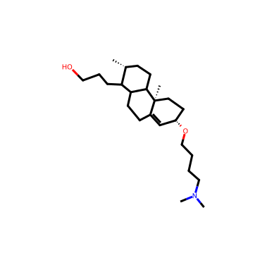 C[C@@H]1CCC2C(CCC3=C[C@@H](OCCCCN(C)C)CC[C@@]32C)C1CCCO